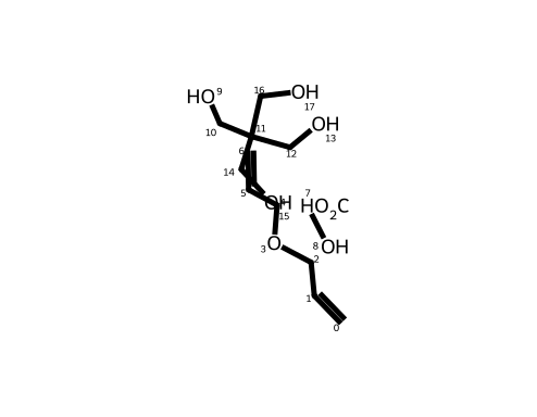 C=CCOCC=C.O=C(O)O.OCC(CO)(CO)CO